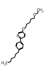 CCCCCCc1ccc(-c2ccc(OCCCCCOCC)cn2)cc1